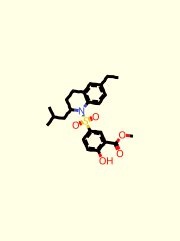 CCc1ccc2c(c1)CCC(CC(C)C)N2S(=O)(=O)c1ccc(O)c(C(=O)OC)c1